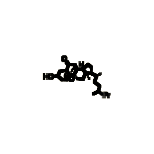 CC(C)[C@@H](C)CC[C@@H](C)[C@H]1CC[C@H]2C3=CC(=O)C45CC(O)CC[C@]4(C)[C@]3(CC[C@]12C)OO5